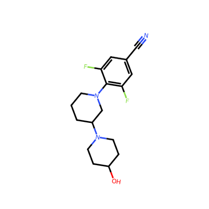 N#Cc1cc(F)c(N2CCCC(N3CCC(O)CC3)C2)c(F)c1